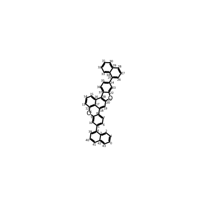 c1ccc2c(-c3ccc4c(c3)Oc3cccc5c3c-4cc3oc4cc(-c6cccc7ccccc67)ccc4c35)cccc2c1